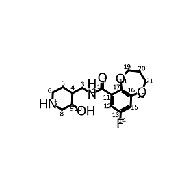 O=C(NCC1CCNCC1O)c1cc(F)cc2c1OCCCO2